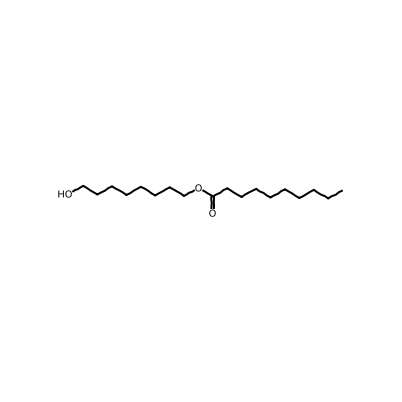 CCCCCCCCCC(=O)OCCCCCCCCO